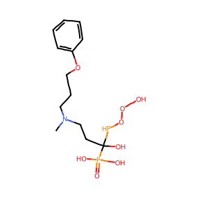 CN(CCCOc1ccccc1)CCC(O)(POOO)P(=O)(O)O